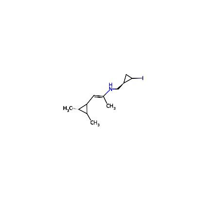 C/C(=C\C1C(C)[C@@H]1C)NC[C@H]1CC1I